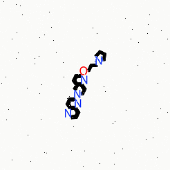 C1=c2ccc(OCCCN3CCCC3)nc2=CCN1c1ccc2ncccc2n1